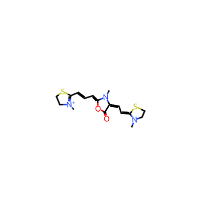 CN1CCSC1=CC=c1c(=O)o/c(=C\C=CC2=[N+](C)CCS2)n1C